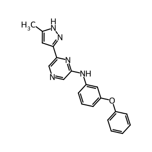 Cc1cc(-c2cncc(Nc3cccc(Oc4ccccc4)c3)n2)n[nH]1